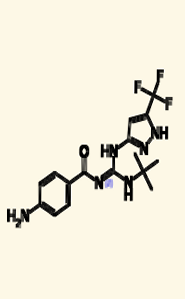 CC(C)(C)N/C(=N/C(=O)c1ccc(N)cc1)Nc1cc(C(F)(F)F)[nH]n1